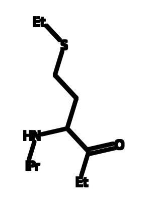 CCSCCC(NC(C)C)C(=O)CC